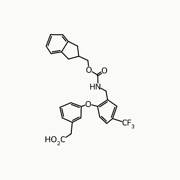 O=C(O)Cc1cccc(Oc2ccc(C(F)(F)F)cc2CNC(=O)OCC2Cc3ccccc3C2)c1